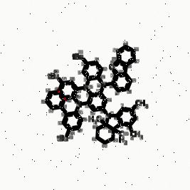 Cc1cc(C)c2c(c1)N(c1cc3c4c(c1)N(c1cccc5c1oc1ccccc15)c1ccc(C(C)(C)C)cc1B4c1cc(C(C)(C)C)ccc1N3c1ccc(C(C)(C)C)cc1-c1ccccc1)C1(C)CCCCC21C